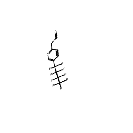 O=CCc1ccc(C(F)(F)C(F)(F)C(F)(F)C(F)(F)F)cn1